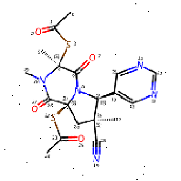 CC(=O)S[C@@]1(C)C(=O)N2[C@@H](c3cncnc3)[C@@](C)(C#N)C[C@]2(SC(C)=O)C(=O)N1C